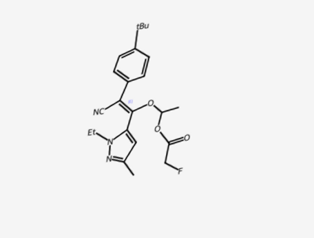 CCn1nc(C)cc1/C(OC(C)OC(=O)CF)=C(\C#N)c1ccc(C(C)(C)C)cc1